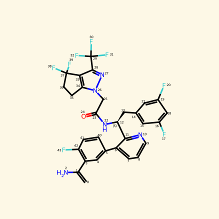 C=C(N)c1cc(-c2cccnc2[C@H](Cc2cc(F)cc(F)c2)NC(=O)Cn2nc(C(F)(F)F)c3c2CCC3(F)F)ccc1F